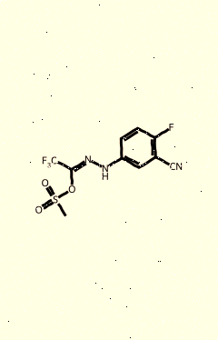 CS(=O)(=O)OC(=NNc1ccc(F)c(C#N)c1)C(F)(F)F